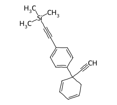 C#CC1(c2ccc(C#C[Si](C)(C)C)cc2)C=CC=CC1